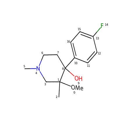 COC1(C)CN(C)CCC1(O)c1ccc(F)cc1